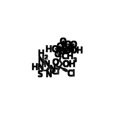 C[C@@H](OP(=O)(O)OP(=O)(O)OP(=O)(O)O)[C@H]1O[C@@H](n2cnc3c(=S)[nH]c(N)nc32)C(Cl)(C#CCl)[C@H]1O